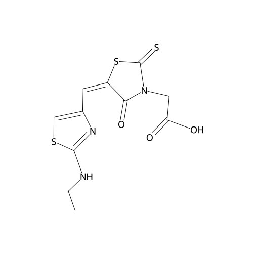 CCNc1nc(C=C2SC(=S)N(CC(=O)O)C2=O)cs1